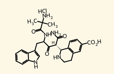 CC(C)(N)C(=O)NC(Cc1c[nH]c2ccccc12)C(=O)[C@H](C(N)=O)C1NCCc2cc(C(=O)O)ccc21.Cl